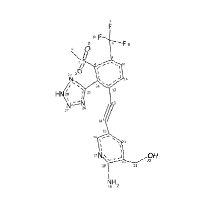 CS(=O)(=O)c1c(C(F)(F)F)ccc(C#Cc2cnc(N)c(CO)c2)c1-c1nn[nH]n1